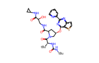 CC(C)(C)NC(=O)N[C@H](C(=O)N1C[C@H](Oc2nc(-c3ccccn3)nc3ccsc23)CC1C(=O)NCC(O)C(=O)NC1CC1)C(C)(C)C